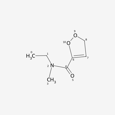 CCN(C)C(=O)C1=CCOO1